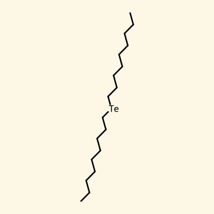 CCCCCCCCC[Te]CCCCCCCCC